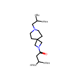 CCCCCCC(CCCCCC)CC(=O)N1CC2(CCN(CC(CCCC)CCCCCC)CC2)C1